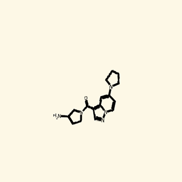 NC1CCN(C(=O)c2cnn3ccc(N4CCCC4)cc23)C1